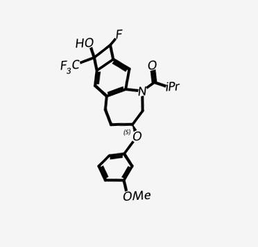 COc1cccc(O[C@H]2CCc3cc4c(cc3N(C(=O)C(C)C)C2)C(F)C4(O)C(F)(F)F)c1